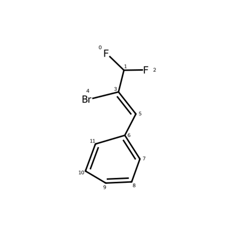 FC(F)/C(Br)=C/c1ccccc1